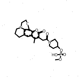 COP(=O)(O)OC1CCN(C(=O)Cc2c(C)c3cc4c5c(c3oc2=O)CCCN5CCC4)CC1